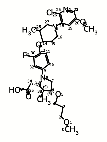 COCCCO[C@H]1CN(c2ccc(OC3CCN(c4cc(OC)cnc4Cl)CC3C)c(F)c2)[C@@H](CC(=O)O)[C@@H]1C